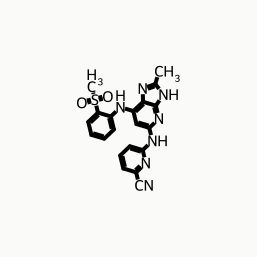 Cc1nc2c(Nc3ccccc3S(C)(=O)=O)cc(Nc3cccc(C#N)n3)nc2[nH]1